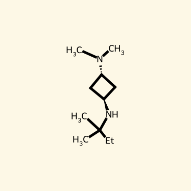 CCC(C)(C)N[C@H]1C[C@H](N(C)C)C1